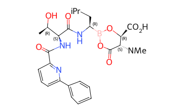 CN[C@@H]1C(=O)OB([C@H](CC(C)C)NC(=O)[C@@H](NC(=O)c2cccc(-c3ccccc3)n2)[C@@H](C)O)O[C@H]1C(=O)O